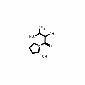 CC(C)C(C)C(=O)N1CCC[C@H]1C